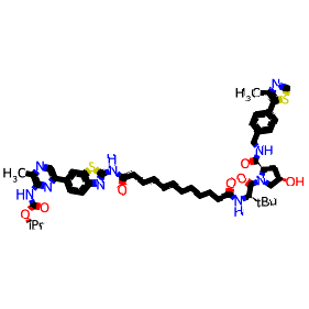 Cc1ncc(-c2ccc3nc(NC(=O)CCCCCCCCCCC(=O)N[C@H](C(=O)N4C[C@H](O)C[C@H]4C(=O)NCc4ccc(-c5scnc5C)cc4)C(C)(C)C)sc3c2)nc1NC(=O)OC(C)C